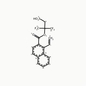 C=Cc1c(C(=O)OC(CS(=O)(=O)O)(C(F)(F)F)C(F)(F)F)ccc2ccccc12